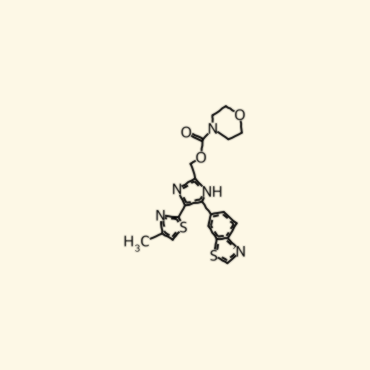 Cc1csc(-c2nc(COC(=O)N3CCOCC3)[nH]c2-c2ccc3ncsc3c2)n1